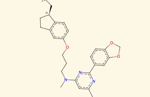 Cc1cc(N(C)CCCOc2ccc3c(c2)CC[C@H]3CC(=O)O)nc(-c2ccc3c(c2)OCO3)n1